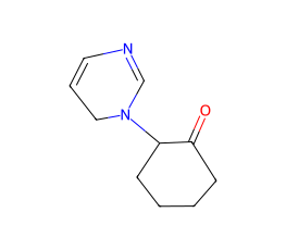 O=C1CCCCC1N1C=NC=CC1